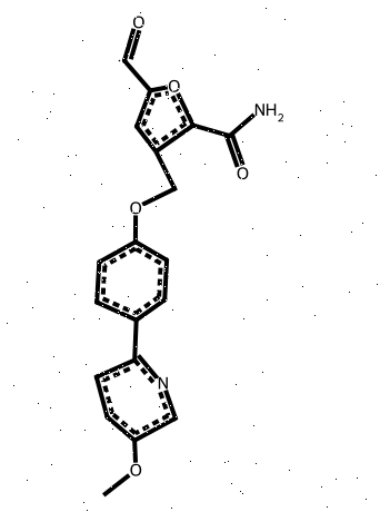 COc1ccc(-c2ccc(OCc3cc([C]=O)oc3C(N)=O)cc2)nc1